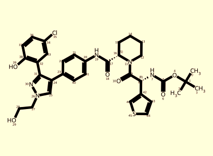 CC(C)(C)OC(=O)N[C@@H](C(=O)N1CCCC[C@H]1C(=O)Nc1ccc(-c2cn(CCO)nc2-c2cc(Cl)ccc2O)cc1)c1ccsc1